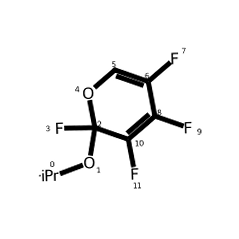 C[C](C)OC1(F)OC=C(F)C(F)=C1F